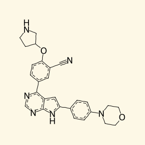 N#Cc1cc(-c2ncnc3[nH]c(-c4ccc(N5CCOCC5)cc4)cc23)ccc1OC1CCNC1